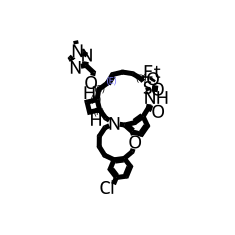 CC[C@@H]1CC/C=C/[C@H](OCc2ncn(C)n2)[C@@H]2CC[C@H]2CN2CCCCc3cc(Cl)ccc3COc3ccc(cc32)C(=O)NS1(=O)=O